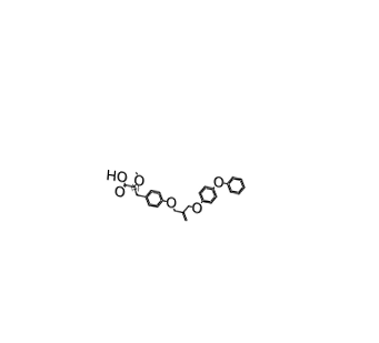 C=C(COc1ccc(C[C@H](OC)C(=O)O)cc1)COc1ccc(Oc2ccccc2)cc1